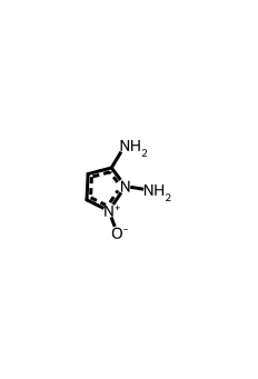 Nc1cc[n+]([O-])n1N